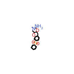 CN(CC1CCc2ccc(S(=O)(=O)c3ccccc3)cc2O1)C(N)=O